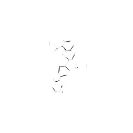 O=C(O)c1cccc2ccc(-c3ccc(-c4cccnc4)cc3)nc12.[NaH]